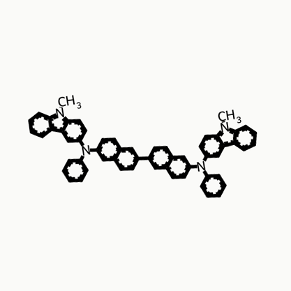 Cn1c2ccccc2c2cc(N(c3ccccc3)c3ccc4cc(-c5ccc6cc(N(c7ccccc7)c7ccc8c(c7)c7ccccc7n8C)ccc6c5)ccc4c3)ccc21